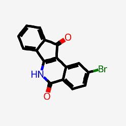 O=C1c2ccccc2-c2[nH]c(=O)c3ccc(Br)cc3c21